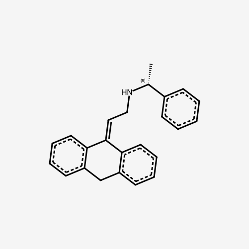 C[C@@H](NCC=C1c2ccccc2Cc2ccccc21)c1ccccc1